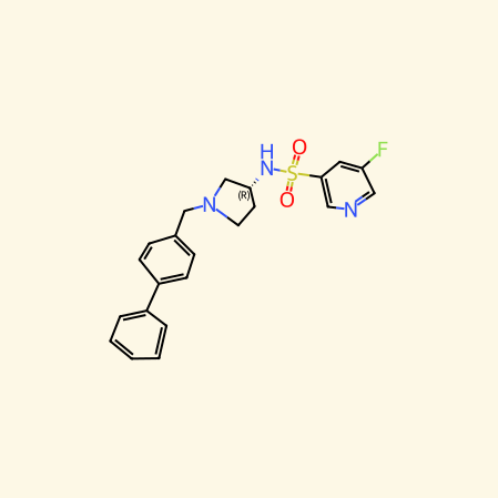 O=S(=O)(N[C@@H]1CCN(Cc2ccc(-c3ccccc3)cc2)C1)c1cncc(F)c1